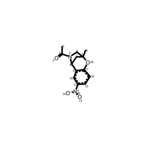 CC(=O)N1CC2(C)CC1c1cc([N+](=O)[O-])ccc1O2